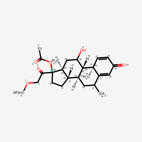 CCCCCOCC(=O)[C@@]1(OC(=O)CC)CC[C@H]2[C@@H]3CC(C)C4=CC(=O)C=C[C@]4(C)[C@H]3C(O)C[C@@]21C